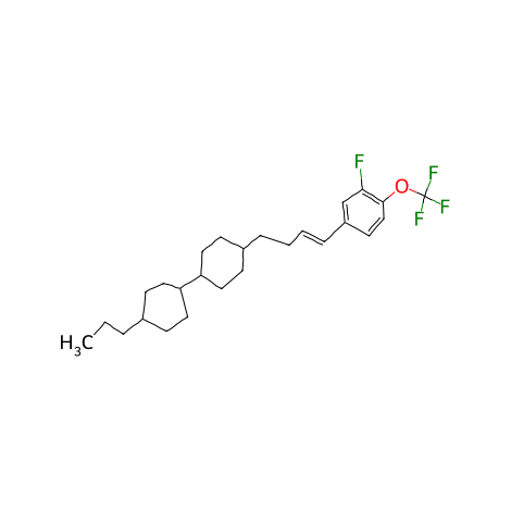 CCCC1CCC(C2CCC(CCC=Cc3ccc(OC(F)(F)F)c(F)c3)CC2)CC1